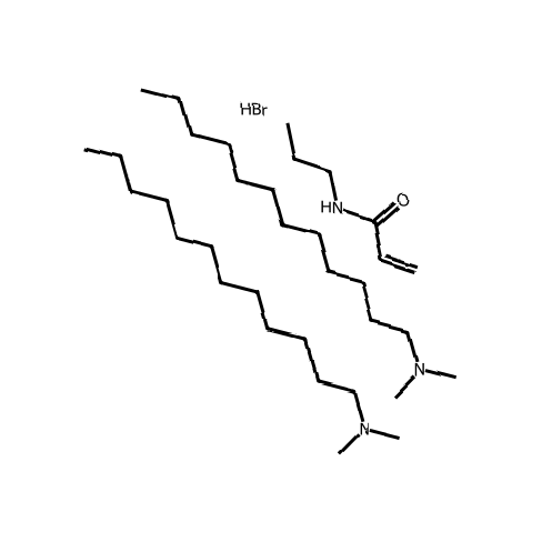 Br.C=CC(=O)NCCC.CCCCCCCCCCCCN(C)C.CCCCCCCCCCCCN(C)C